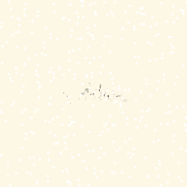 NC(=O)CC[C@H]1CN(c2ccc(N3CCN(CCO)CC3)c(F)c2)C(=O)O1